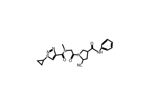 CN(CC(=O)N1CC(C(=O)Nc2ccccc2)CC1C#N)C(=O)c1cn(C2CC2)nn1